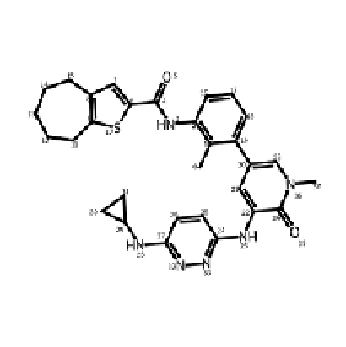 Cc1c(NC(=O)c2cc3c(s2)CCCCC3)cccc1-c1cc(Nc2ccc(NC3CC3)nn2)c(=O)n(C)c1